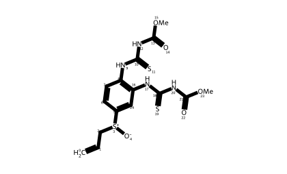 C=CC[S+]([O-])c1ccc(NC(=S)NC(=O)OC)c(NC(=S)NC(=O)OC)c1